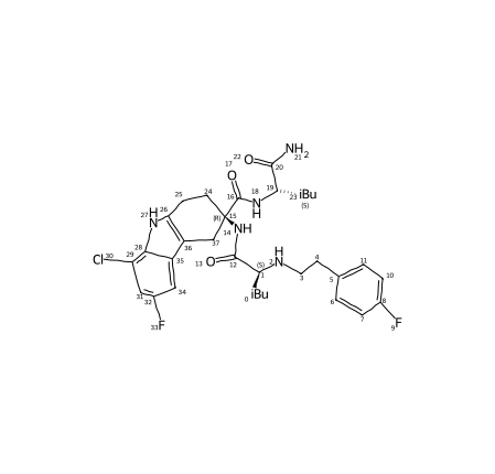 CCC(C)[C@H](NCCc1ccc(F)cc1)C(=O)N[C@]1(C(=O)NC(C(N)=O)[C@@H](C)CC)CCc2[nH]c3c(Cl)cc(F)cc3c2C1